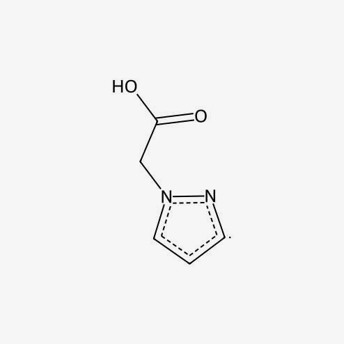 O=C(O)Cn1cc[c]n1